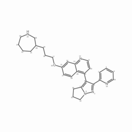 c1ccc(-c2nn3c(c2-c2ccnc4cc(OCCCC5CCCCNC5)ccc24)CCC3)nc1